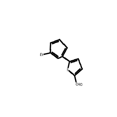 CCc1cccc(-c2ccc(C=O)s2)c1